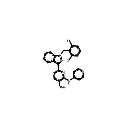 COc1cnc(-c2nn(Cc3c(Cl)[c]ccc3Cl)c3ccccc23)nc1Nc1ccncc1